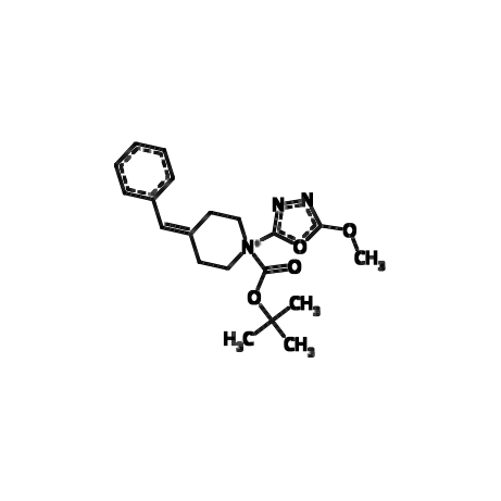 COc1nnc([N+]2(C(=O)OC(C)(C)C)CCC(=Cc3ccccc3)CC2)o1